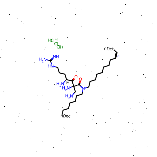 CCCCCCCC/C=C\CCCCCCCCN(CCCCCCCCCCCCCCCC)C(=O)C(N)(CN)C(=O)[C@@H](N)CCCNC(=N)N.Cl.Cl.Cl